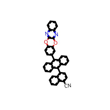 N#Cc1ccc(-c2c3ccccc3c(-c3ccc4c(c3)Oc3nc5ccccc5nc3O4)c3ccccc23)c2ccccc12